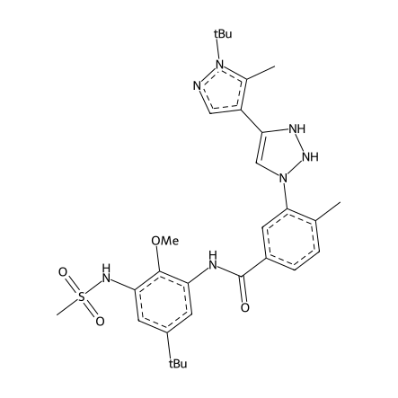 COc1c(NC(=O)c2ccc(C)c(N3C=C(c4cnn(C(C)(C)C)c4C)NN3)c2)cc(C(C)(C)C)cc1NS(C)(=O)=O